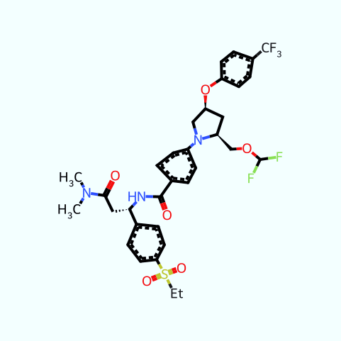 CCS(=O)(=O)c1ccc([C@H](CC(=O)N(C)C)NC(=O)c2ccc(N3C[C@@H](Oc4ccc(C(F)(F)F)cc4)C[C@H]3COC(F)F)cc2)cc1